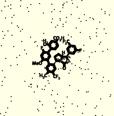 COc1cc(F)c(-c2ccc(C(=O)O)cc2C)cc1-c1cc(C)c(C(F)(F)F)cc1[C@@H]1CC[C@H]2[C@@H](c3cc(F)cc(C(F)(F)F)c3)OC(=O)N12